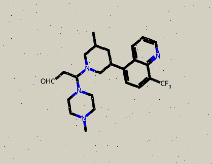 CC1CC(c2ccc(C(F)(F)F)c3ncccc23)CN(C(CC=O)N2CCN(C)CC2)C1